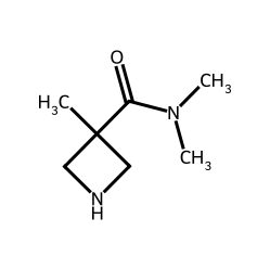 CN(C)C(=O)C1(C)CNC1